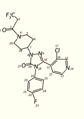 O=C(CC(F)(F)F)N1CCC(n2nc(-c3ccncc3Cl)n(-c3ccc(F)cc3)c2=O)CC1